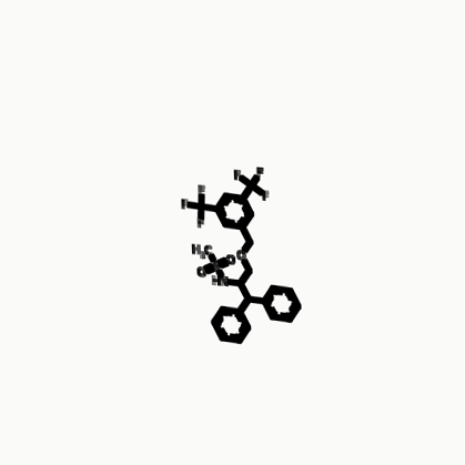 CS(=O)(=O)NC(COCc1cc(C(F)(F)F)cc(C(F)(F)F)c1)C(c1ccccc1)c1ccccc1